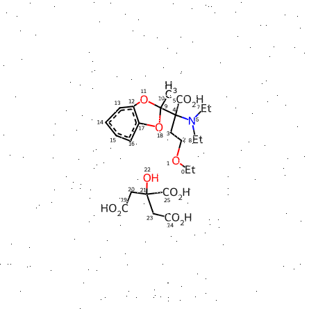 CCOCCC(C(=O)O)(N(CC)CC)C1(C)Oc2ccccc2O1.O=C(O)CC(O)(CC(=O)O)C(=O)O